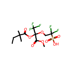 CCC(C)(C)C(=O)OC(OCC(F)(F)S(=O)(=O)O)(C(=O)OC)C(F)(F)F